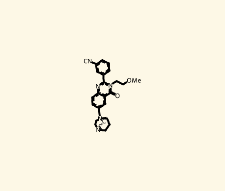 [C-]#[N+]c1cccc(-c2nc3ccc(N4CCN5CCC4CC5)cc3c(=O)n2CCOC)c1